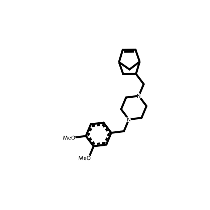 COc1ccc(CN2CCN(CC3CC4C=CC3C4)CC2)cc1OC